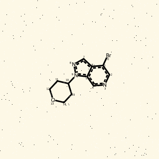 Brc1cncc2c1cnn2C1CCOCC1